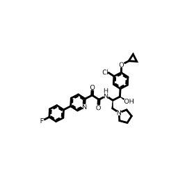 O=C(N[C@H](CN1CCCC1)[C@H](O)c1ccc(OC2CC2)c(Cl)c1)C(=O)c1ccc(-c2ccc(F)cc2)cn1